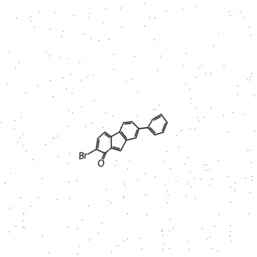 O=C1C(Br)=CC=C2C1=Cc1cc(-c3ccccc3)ccc12